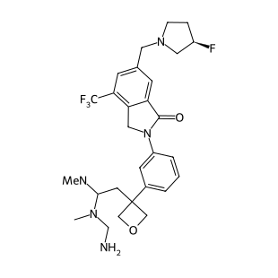 CNC(CC1(c2cccc(N3Cc4c(cc(CN5CC[C@@H](F)C5)cc4C(F)(F)F)C3=O)c2)COC1)N(C)CN